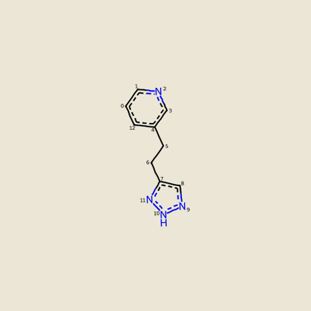 c1cncc(CCc2cn[nH]n2)c1